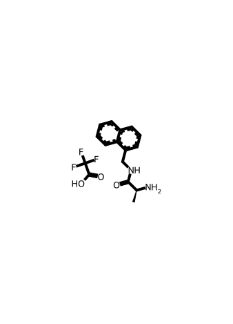 C[C@H](N)C(=O)NCc1cccc2ccccc12.O=C(O)C(F)(F)F